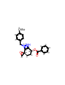 COc1ccc(Cn2[nH]c3c2[C@]2(CC[C@H]3OC(=O)c3ccccc3)CO2)cc1